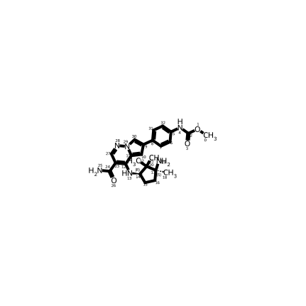 COC(=O)Nc1ccc(-c2cc3c(N[C@@H]4CC[C@](C)(N)C4(C)C)c(C(N)=O)cnn3c2)cc1